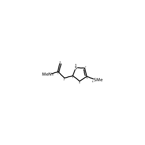 C=C(CC1CC(SC)=CS1)NC